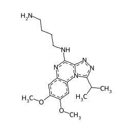 COc1cc2nc(NCCCCN)c3nnc(C(C)C)n3c2cc1OC